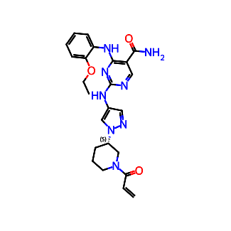 C=CC(=O)N1CCC[C@H](n2cc(Nc3ncc(C(N)=O)c(Nc4ccccc4OCC)n3)cn2)C1